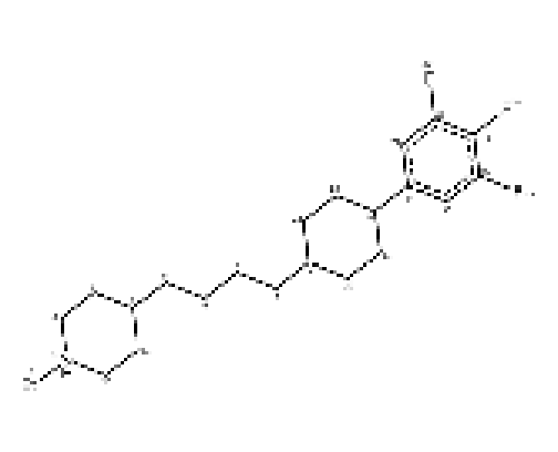 CC[SiH]1CCC(CCCCC2CCC(c3cc(F)c(F)c(F)c3)CC2)CC1